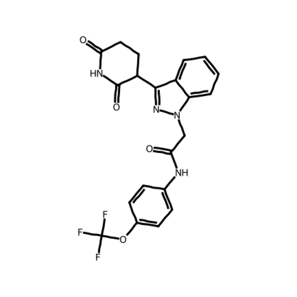 O=C1CCC(c2nn(CC(=O)Nc3ccc(OC(F)(F)F)cc3)c3ccccc23)C(=O)N1